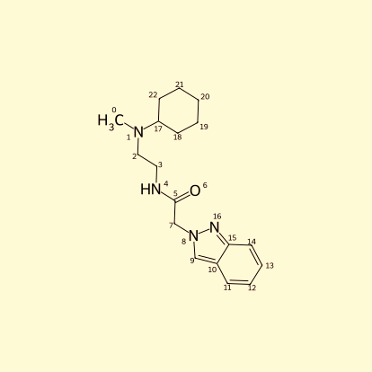 CN(CCNC(=O)Cn1cc2ccccc2n1)C1CCCCC1